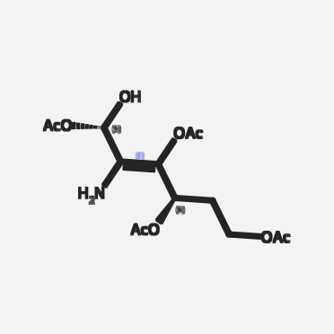 CC(=O)OCC[C@@H](OC(C)=O)/C(OC(C)=O)=C(\N)[C@@H](O)OC(C)=O